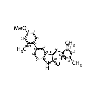 COc1ccc(-c2ccc3c(c2)/C(=C/c2[nH]c(C)cc2C)C(=O)N3)c(C)c1